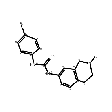 CN1CCc2ccc(NC(=O)Nc3ccc(F)cc3)cc2C1